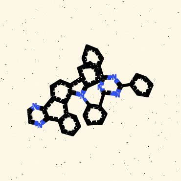 c1ccc(-c2nc(-c3ccccc3)nc(-c3ccccc3-n3c4ccccc4c4ccc5c6nccnc6c6ccccc6c5c43)n2)cc1